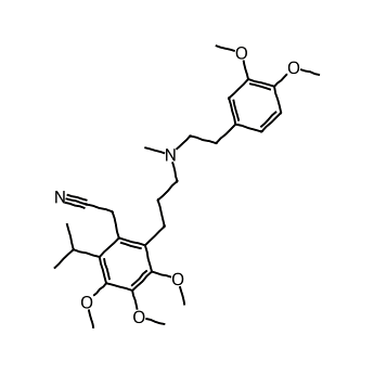 COc1ccc(CCN(C)CCCc2c(CC#N)c(C(C)C)c(OC)c(OC)c2OC)cc1OC